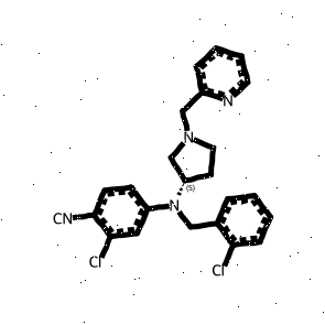 [C-]#[N+]c1ccc(N(Cc2ccccc2Cl)[C@H]2CCN(Cc3ccccn3)C2)cc1Cl